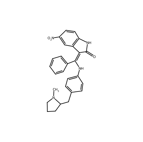 CN1CCCC1Cc1ccc(N/C(=C2\C(=O)Nc3ccc([N+](=O)[O-])cc32)c2ccccc2)cc1